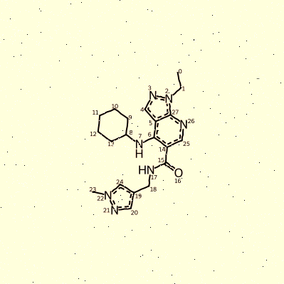 CCn1ncc2c(NC3CCCCC3)c(C(=O)NCc3cnn(C)c3)cnc21